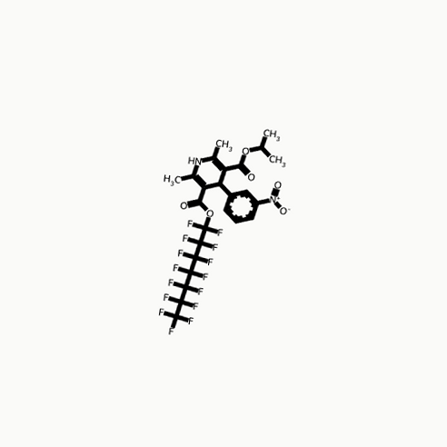 CC1=C(C(=O)OC(C)C)C(c2cccc([N+](=O)[O-])c2)C(C(=O)OC(F)(F)C(F)(F)C(F)(F)C(F)(F)C(F)(F)C(F)(F)C(F)(F)F)=C(C)N1